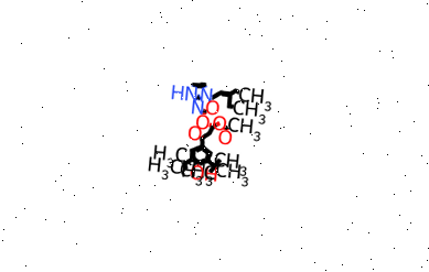 CCC(=CCn1cc[nH]c1=NC(=O)OC(CC(=O)c1cc(C(C)(C)C)c(O)c(C(C)(C)C)c1)OC(C)=O)CC